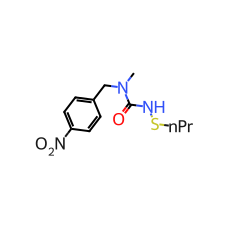 CCCSNC(=O)N(C)Cc1ccc([N+](=O)[O-])cc1